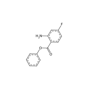 Nc1cc(F)ccc1C(=O)Oc1ccccc1